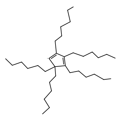 CCCCCCC1=[C]C(CCCCCC)(CCCCCC)C(CCCCCC)=C1CCCCCC